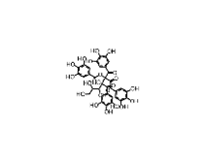 O=C(O[C@](C(=O)C(=O)c1cc(O)c(O)c(O)c1)(C(=O)c1cc(O)c(O)c(O)c1)C(O)(C(=O)c1cc(O)c(O)c(O)c1)C(O)C(O)CO)c1cc(O)c(O)c(O)c1